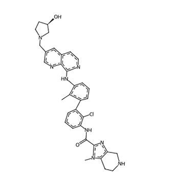 Cc1c(Nc2nccc3cc(CN4CC[C@@H](O)C4)cnc23)cccc1-c1cccc(NC(=O)c2nc3c(n2C)CCNC3)c1Cl